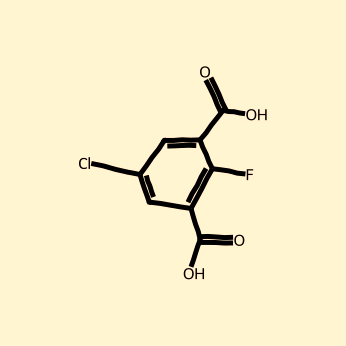 O=C(O)c1cc(Cl)cc(C(=O)O)c1F